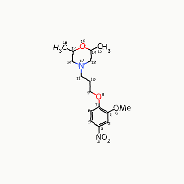 COc1cc([N+](=O)[O-])ccc1OCCCN1CC(C)OC(C)C1